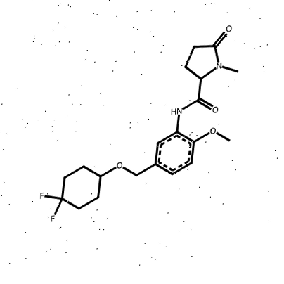 COc1ccc(COC2CCC(F)(F)CC2)cc1NC(=O)C1CCC(=O)N1C